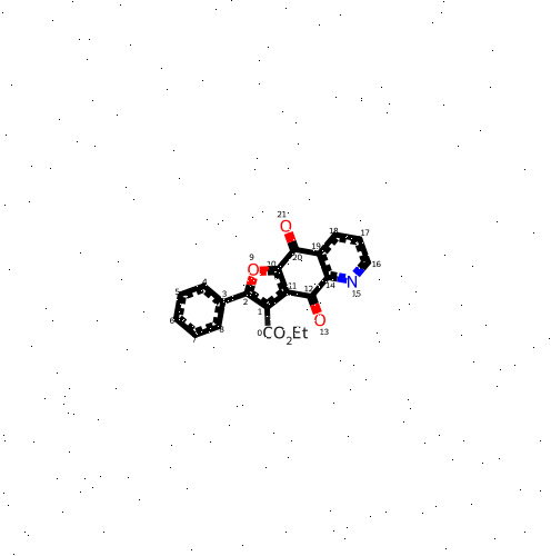 CCOC(=O)c1c(-c2ccccc2)oc2c1C(=O)c1ncccc1C2=O